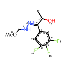 COCN/N=C(\c1cc(F)c(F)c(F)c1)C(C)O